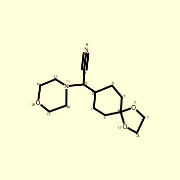 N#CC(C1CCC2(CC1)OCCO2)N1CCOCC1